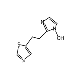 On1ccnc1CCc1cncs1